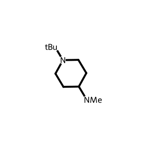 CNC1CCN(C(C)(C)C)CC1